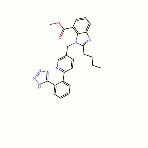 CCCCc1nc2cccc(C(=O)OC)c2n1Cc1ccc(-c2ccccc2-c2nnn[nH]2)nc1